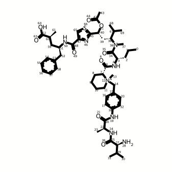 CCC[C@H](NC(=O)[C@H]1CCCC[N+]1(C)Cc1ccc(NC(=O)[C@H](C)NC(=O)[C@@H](N)C(C)C)cc1)C(=O)N(C)[C@H](C[C@@H](OC(C)=O)c1nc(C(=O)N[C@@H](Cc2ccccc2)C[C@H](C)C(=O)O)cs1)C(C)C